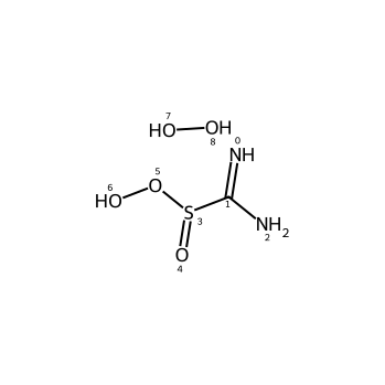 N=C(N)S(=O)OO.OO